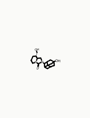 O=C1N(C2C3CC4CC2CC(O)(C4)C3)CC2[C@@H](CO)CCCN12